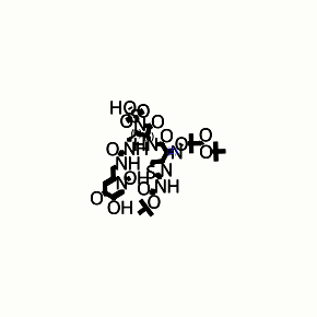 CC(C)(C)OC(=O)NC1=NC(/C(=N/OC(C)(C)C(=O)OC(C)(C)C)C(=O)N[C@@H]2C(=O)N(S(=O)(=O)O)[C@@H]2CNC(=O)NCc2cc(=O)c(O)cn2O)CS1